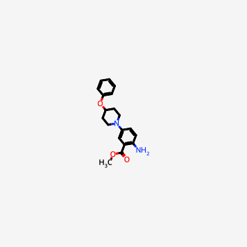 COC(=O)c1cc(N2CCC(Oc3ccccc3)CC2)ccc1N